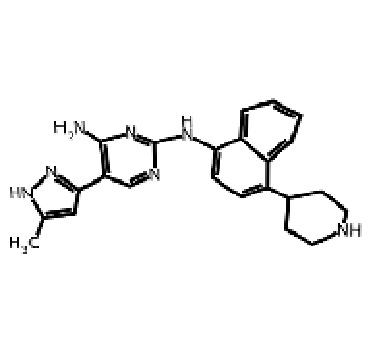 Cc1cc(-c2cnc(Nc3ccc(C4CCNCC4)c4ccccc34)nc2N)n[nH]1